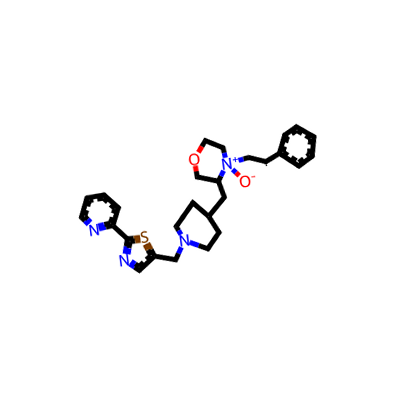 [O-][N+]1(C[CH]c2ccccc2)CCOCC1CC1CCN(Cc2cnc(-c3ccccn3)s2)CC1